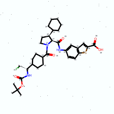 CC(C)(C)OC(=O)N[C@H](CF)C1CCC(C(=O)N2CC[C@@H](C3CCCCC3)[C@H]2C(=O)Nc2ccc3sc(C(=O)O)cc3c2)CC1